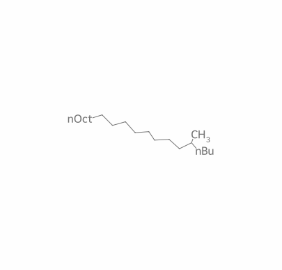 [CH2]CCCC(C)CCCCCCCCCCCCCCCC